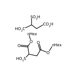 CCCCCCOC(=O)CC(C(=O)OCCCCCC)S(=O)(=O)O.O=C(O)CC(C(=O)O)S(=O)(=O)O